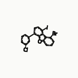 Clc1cccc(-c2ccc(I)c3c2oc2cccc(Br)c23)c1